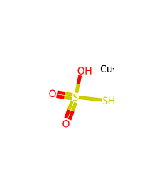 O=S(=O)(O)S.[Cu]